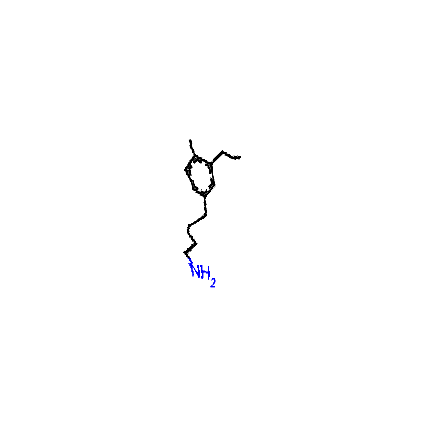 CCc1cc(CCCCN)ccc1C